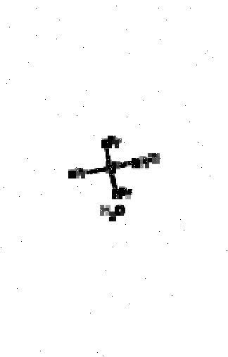 CCC[N+](CCC)(CCC)CCC.O.[Ti]